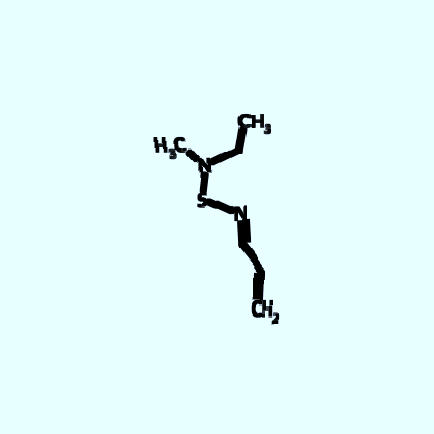 C=C/C=N/SN(C)CC